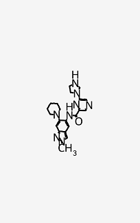 Cn1cc2cc(NC(=O)c3cncc(N4CCNC4)n3)c(N3CCCCC3)cc2n1